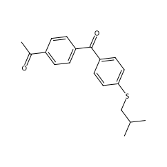 CC(=O)c1ccc(C(=O)c2ccc(SCC(C)C)cc2)cc1